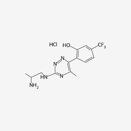 Cc1nc(NCC(C)N)nnc1-c1ccc(C(F)(F)F)cc1O.Cl